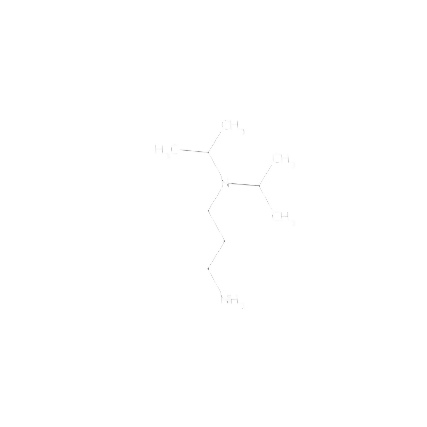 CC(C)N(CCCN)C(C)C